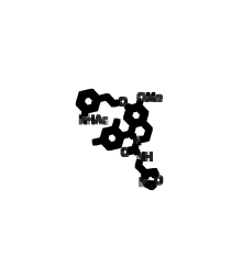 COc1cc2c(cc1OCCc1cccc(NC(C)=O)c1)C(c1ccc(C)cc1C)N(C(=O)NCc1cocn1)CC2